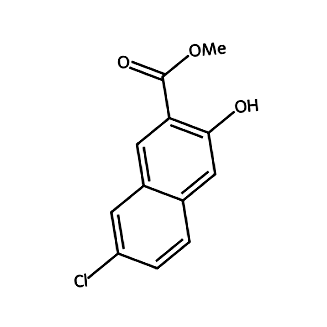 COC(=O)c1cc2cc(Cl)ccc2cc1O